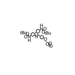 C[n+]1c(-c2ccc(OCCOS(C)(=O)=O)cc2)c2cc(NC(=O)OC(C)(C)C)ccc2c2ccc(NC(=O)OC(C)(C)C)cc21